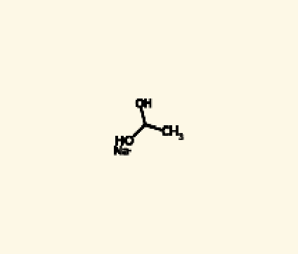 CC(O)O.[Na]